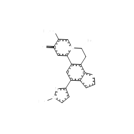 Cn1ccc(-c2cc3c(c4sccc24)C[C@@H](C(C)(C)C)n2cc(C(=O)O)c(=O)cc2-3)n1